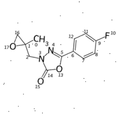 CC1(Cn2nc(-c3ccc(F)cc3)oc2=O)CO1